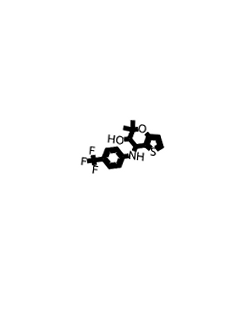 CC1(C)Oc2ccsc2C(Nc2ccc(C(F)(F)F)cc2)C1O